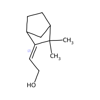 CC1(C)/C(=C\CO)C2CCC1C2